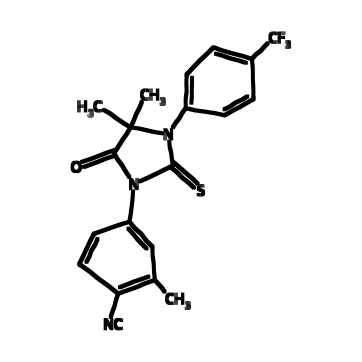 [C-]#[N+]c1ccc(N2C(=O)C(C)(C)N(c3ccc(C(F)(F)F)cc3)C2=S)cc1C